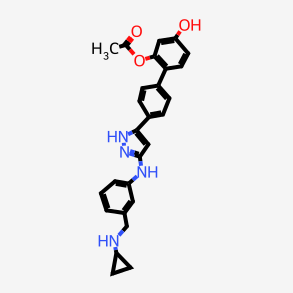 CC(=O)Oc1cc(O)ccc1-c1ccc(-c2cc(Nc3cccc(CNC4CC4)c3)n[nH]2)cc1